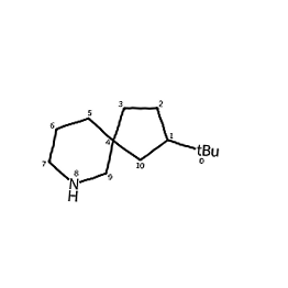 CC(C)(C)C1CCC2(CCCNC2)C1